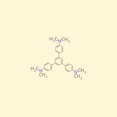 CN(C)c1ccc(-c2cc(-c3ccc(N(C)C)cc3)cc(-c3ccc(N(C)C)cc3)c2)cc1